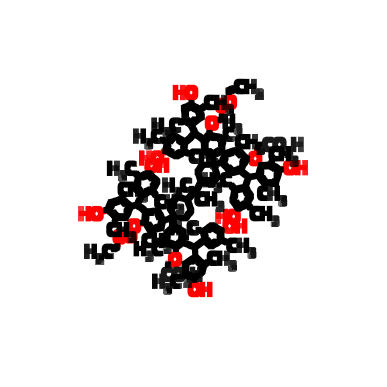 C=COOCOc1c(C)cc(C2(c3cc(C)c(OCC(=O)O)c(C(c4cc(C)c(O)cc4C)c4cc(C)c(O)cc4C)c3)CCC(C(C)(C)C3CCC(c4cc(C)c(OCC(=O)O)c(C(c5cc(C)c(O)cc5C)c5cc(C)c(O)cc5C)c4)(c4cc(C)c(OOOC=C)c(C(c5cc(C)c(O)cc5C)c5cc(C)c(O)cc5C)c4)CC3)CC2)cc1C(c1cc(C)c(O)cc1C)c1cc(C)c(O)cc1C